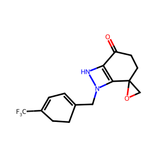 O=C1CCC2(CO2)c2c1[nH]n2CC1=CC=C(C(F)(F)F)CC1